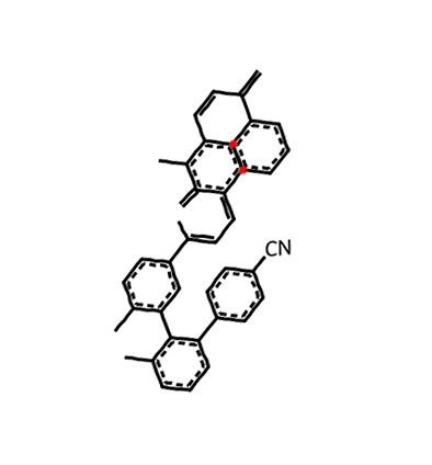 C=C(/C=C\c1cc/c(=C/C=C(\C)c2ccc(C)c(-c3c(C)cccc3-c3ccc(C#N)cc3)c2)c(=C)c1C)c1ccccc1